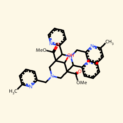 COC(=O)C12CN(Cc3cccc(C)n3)CC(C(=O)OC)(C(c3ccccn3)N(Cc3cccc(C)n3)C1c1ccccn1)C2O